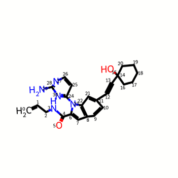 C=CCNC(=O)c1cc2ccc(C#CC3(O)CCCCC3)cc2n1-c1ccnc(N)n1